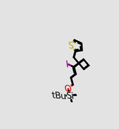 CC(C)(C)[Si](C)(C)OCC/C=C(\I)C1(Cc2cccs2)CCC1